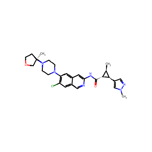 C[C@@H]1[C@@H](C(=O)Nc2cc3cc(N4CCN([C@]5(C)CCOC5)CC4)c(Cl)cc3cn2)[C@@H]1c1cnn(C)c1